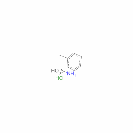 Cc1ccccc1.Cl.NS(=O)(=O)O